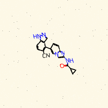 N#Cc1ccc2[nH]ncc2c1-c1ccc2nc(NC(=O)C3CC3)cn2c1